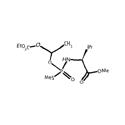 CCOC(=O)OC(C)OP(=O)(N[C@H](C(=O)OC)C(C)C)SC